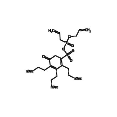 C=CC[O][Ti](=[O])([CH2]C=C)[O]S(=O)(=O)C1=C(CCCCCCCCCCCC)C(CCCCCCCCCCCC)=C(CCCCCCCCCCCC)C(=O)C1